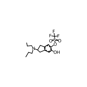 CCCN(CCC)C1Cc2cc(O)c(OS(=O)(=O)C(F)(F)F)cc2C1